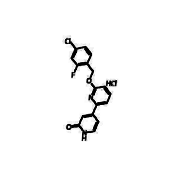 Cl.O=c1cc(-c2cccc(OCc3ccc(Cl)cc3F)n2)cc[nH]1